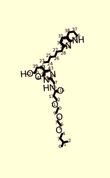 CC(C)CCOCCOCCOCCC(=O)NCc1ncc([C@@H](CCCCCCc2ccc3c(n2)NCCC3)CC(=O)O)cn1